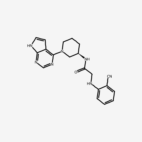 N#Cc1ccccc1NCC(=O)N[C@@H]1CCCN(c2ncnc3[nH]ccc23)C1